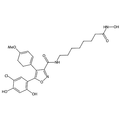 COC1=CC=C(c2c(C(=O)NCCCCCCCC(=O)NO)noc2-c2cc(Cl)c(O)cc2O)CC1